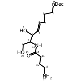 CCCCCCCCCCCCCC=CC(O)C(CO)NC(=O)CCCN